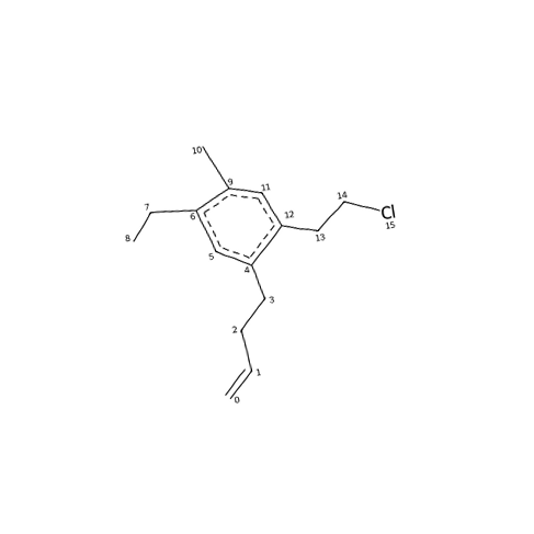 C=CCCc1cc(CC)c(C)cc1CCCl